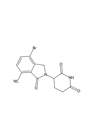 N#Cc1ccc(Br)c2c1C(=O)N(C1CCC(=O)NC1=O)C2